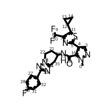 Cn1ncc(-c2nc(C(F)F)c(C3CC3)s2)c1C(=O)NC1CCn2nc(-c3ccc(F)cc3)nc2C1